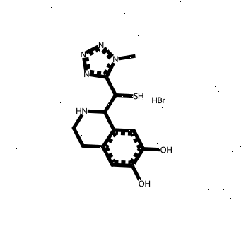 Br.Cn1nnnc1C(S)C1NCCc2cc(O)c(O)cc21